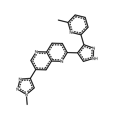 Cc1cccc(-c2n[nH]cc2-c2ccc3ncc(-c4cn(C)nn4)cc3n2)n1